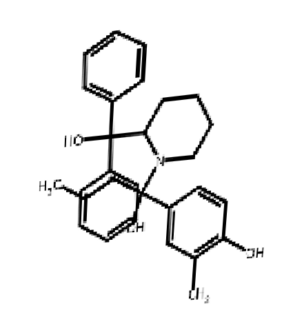 CCCC(O)(c1ccc(O)c(C)c1)N1CCCCC1C(O)(c1ccccc1)c1ccccc1